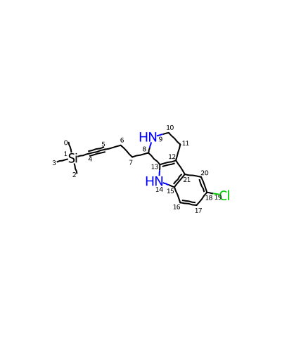 C[Si](C)(C)C#CCCC1NCCc2c1[nH]c1ccc(Cl)cc21